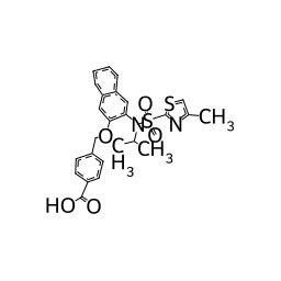 Cc1csc(S(=O)(=O)N(c2cc3ccccc3cc2OCc2ccc(C(=O)O)cc2)C(C)C)n1